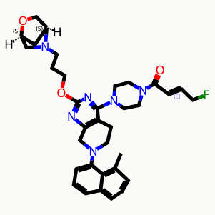 Cc1cccc2cccc(N3CCc4c(nc(OCCCN5C[C@@H]6C[C@H]5CO6)nc4N4CCN(C(=O)/C=C/CF)CC4)C3)c12